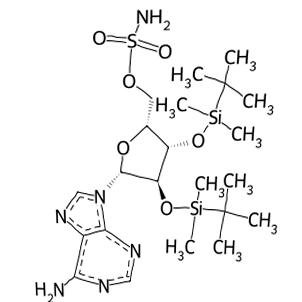 CC(C)(C)[Si](C)(C)O[C@@H]1[C@@H](O[Si](C)(C)C(C)(C)C)[C@@H](COS(N)(=O)=O)O[C@H]1n1cnc2c(N)ncnc21